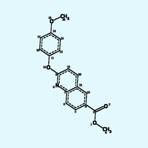 COC(=O)c1ccc2nc(Oc3ccc(OC)cc3)ccc2c1